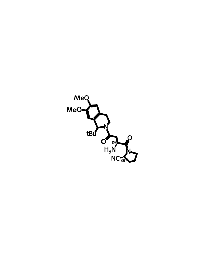 COc1cc2c(cc1OC)C(C(C)(C)C)N(C(=O)C[C@H](N)C(=O)N1CCC[C@H]1C#N)CC2